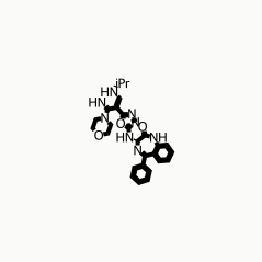 CC(C)N/C=C(\C(=N)N1CCOCC1)c1nnc(N[C@H]2N=C(c3ccccc3)c3ccccc3NC2=O)o1